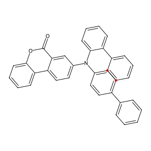 O=c1oc2ccccc2c2ccc(N(c3ccc(-c4ccccc4)cc3)c3ccccc3-c3ccccc3)cc12